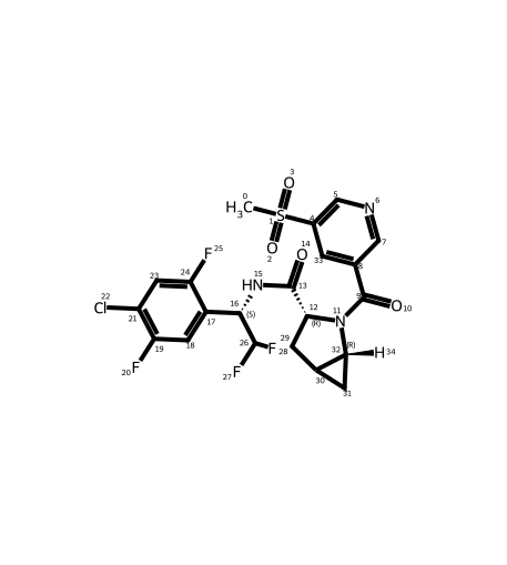 CS(=O)(=O)c1cncc(C(=O)N2[C@@H](C(=O)N[C@@H](c3cc(F)c(Cl)cc3F)C(F)F)CC3C[C@H]32)c1